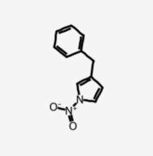 O=[N+]([O-])n1ccc(Cc2ccccc2)c1